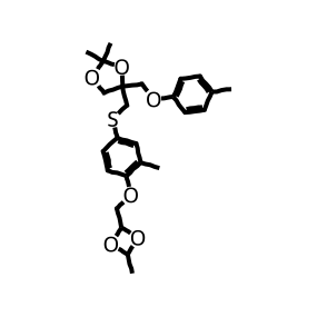 Cc1ccc(OCC2(CSc3ccc(OCC4OC(C)O4)c(C)c3)COC(C)(C)O2)cc1